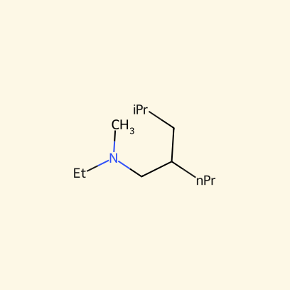 CCCC(CC(C)C)CN(C)CC